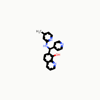 Cc1ccnc(NC(c2ccncc2)c2ccc3cccnc3c2O)c1